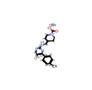 CC(C)(C)OC(=O)N1CCC(CNc2ncc(Cl)c(-c3ccc(C#N)cc3)n2)CC1